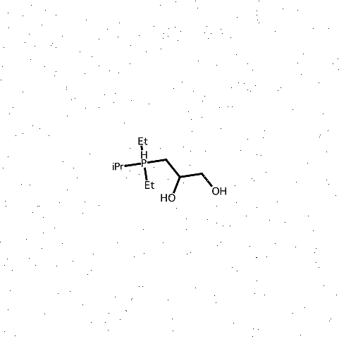 CC[PH](CC)(CC(O)CO)C(C)C